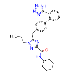 CCCn1nc(C(=O)NC2CCCCC2)nc1Cc1ccc(-c2ccccc2-c2nnn[nH]2)cc1